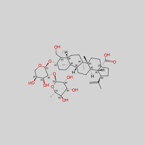 C=C(C)[C@@H]1CC[C@]2(C(=O)O)CC[C@]3(C)[C@H](CC[C@@H]4[C@@]5(C)CC[C@H](O[C@@H]6OC[C@H](O)[C@H](O)[C@H]6O[C@@H]6O[C@@H](C)[C@H](O)[C@@H](O)[C@H]6O)[C@@](C)(CO)[C@@H]5CC[C@]43C)[C@@H]12